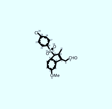 COc1ccc2c(c1)C(CC=O)=C(C)C2S(=O)(=O)c1ccc(Cl)cc1